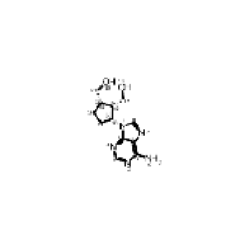 Nc1ncnc2c1ncn2[C@@H]1CC[C@H](CO)[C@@H]1CO